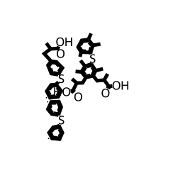 CC(Cc1ccc(Sc2cc[c]cc2)cc1)C(=O)O.Cc1ccc(C)c(Sc2c(C)c(C)c(CC(C)C(=O)O)c(CC(C)C(=O)O)c2C)c1C.[c]1ccc(Sc2cc[c]cc2)cc1